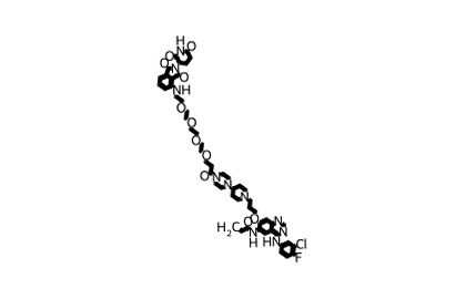 C=CC(=O)Nc1cc2c(Nc3ccc(F)c(Cl)c3)ncnc2cc1OCCCN1CCC(N2CCN(C(=O)CCOCCOCCOCCOCCNc3cccc4c3C(=O)N(C3CCC(=O)NC3=O)C4=O)CC2)CC1